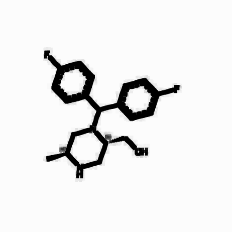 C[C@H]1CN(C(c2ccc(F)cc2)c2ccc(F)cc2)[C@H](CO)CN1